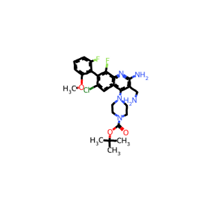 COc1cccc(F)c1-c1c(Cl)cc2c(N3CCN(C(=O)OC(C)(C)C)CC3)c(CN)c(N)nc2c1F